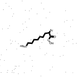 CCCCCCCCCCCCCCCCC(C(C)=O)C(=O)OO